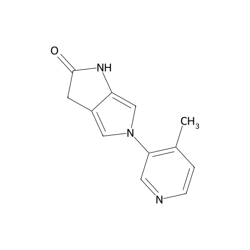 Cc1ccncc1-n1cc2c(c1)NC(=O)C2